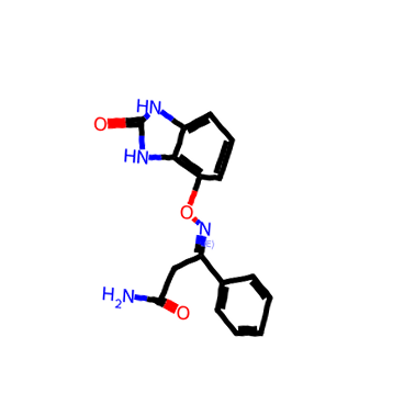 NC(=O)C/C(=N\Oc1cccc2[nH]c(=O)[nH]c12)c1ccccc1